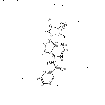 C[C@H]1O[C@@H](n2cnc3c(NC(=O)c4ccccc4)ncnc32)C(F)C1O